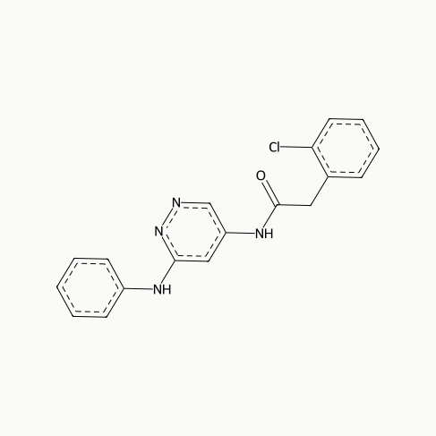 O=C(Cc1ccccc1Cl)Nc1cnnc(Nc2ccccc2)c1